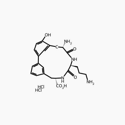 Cl.Cl.NCCC[C@@H]1NC(=O)[C@@H](N)Cc2cc(ccc2O)-c2cccc(c2)C[C@@H](C(=O)O)NC1=O